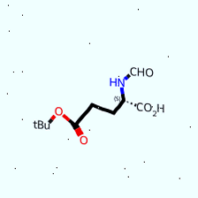 CC(C)(C)OC(=O)CC[C@H](NC=O)C(=O)O